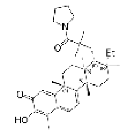 CC[C@]1(C)CC[C@]2(C)C3=CC=C4C(=CC(=O)C(O)=C4C)[C@]3(C)CC[C@@]2(C)[C@@H]1CC(C)(C)C(=O)N1CCCC1